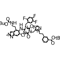 Cn1cc2c(CCNC(=O)OC(C)(C)C)c(Nc3nc(=O)n(Cc4ncnn4CCc4cccc(C(=O)OC(C)(C)C)c4)c(=O)n3Cc3cc(F)c(F)cc3F)c(Cl)cc2n1